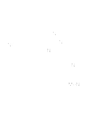 CNCC1CN(c2ccc3c(c2)Cn2cc(-c4ccc(C#N)cc4)cc2-c2ncc(C)n2-3)C1